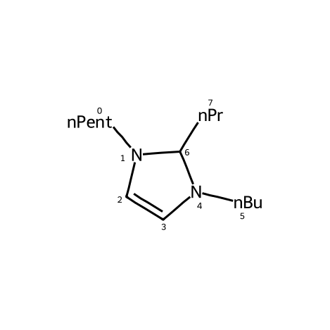 CCCCCN1C=CN(CCCC)C1CCC